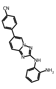 N#Cc1ccc(-c2ccc3nc(Nc4ccccc4N)nn3c2)cc1